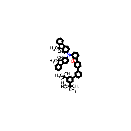 CC(C)(C)c1cc(-c2cccc(-c3ccc4c(c3)oc3c(N(c5ccc6c(c5)C(C)(C)c5ccccc5-6)c5ccc6c(c5)C(C)(C)c5ccccc5-6)cccc34)c2)cc(C(C)(C)C)c1